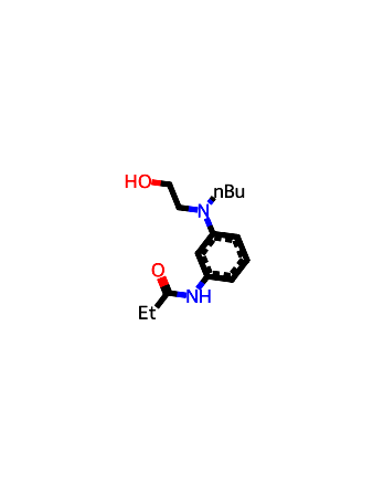 CCCCN(CCO)c1cccc(NC(=O)CC)c1